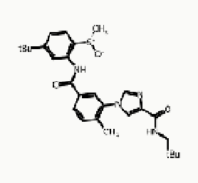 Cc1ccc(C(=O)Nc2cc(C(C)(C)C)ccc2[S@+](C)[O-])cc1-n1cnc(C(=O)NCC(C)(C)C)c1